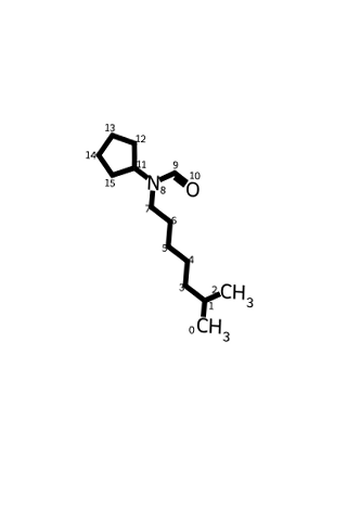 CC(C)CCCCCN(C=O)C1CCCC1